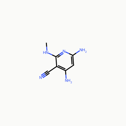 CNc1nc(N)cc(N)c1C#N